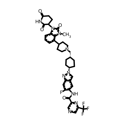 Cn1c(=O)n(C2CCC(=O)NC2=O)c2cccc(C3CCN(C[C@H]4CC[C@H](n5cc6cc(NC(=O)c7cncc(C(F)(F)F)n7)c(F)cc6n5)CC4)CC3)c21